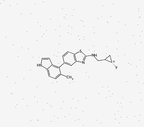 Cc1ccc2[nH]ccc2c1-c1ccc2sc(NCC3C[C@@H]3F)nc2c1